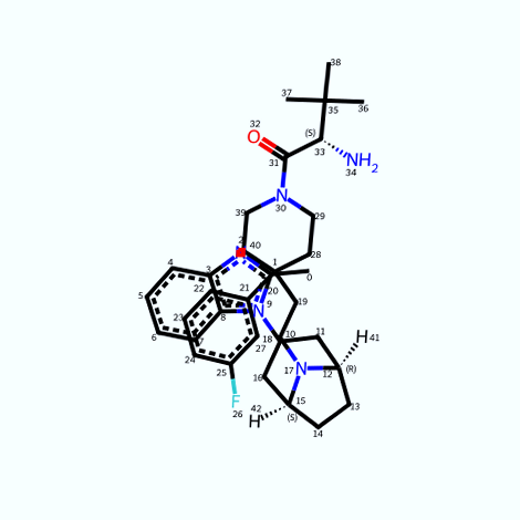 Cc1nc2ccccc2n1C1C[C@H]2CC[C@@H](C1)N2CCC1(c2cccc(F)c2)CCN(C(=O)[C@@H](N)C(C)(C)C)CC1